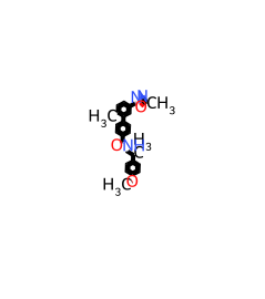 COc1ccc(C(C)CNC(=O)c2ccc(-c3cc(-c4nnc(C)o4)ccc3C)cc2)cc1